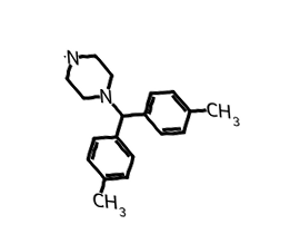 Cc1ccc(C(c2ccc(C)cc2)N2CC[N]CC2)cc1